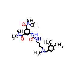 Cc1ccc(CN(C)CCCCNC(=O)Nc2cc(C(=O)N(C)C)cc(C(=O)N(C)C)c2)cc1C